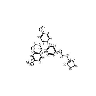 COc1cccc([C@H]2COc3cc(OC)ccc3[C@H]2c2ccc(OCCN3CCCC3)cc2)c1